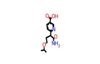 CC(C)OCCC(C(N)=O)c1ccc(C(=O)O)cn1